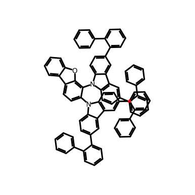 c1ccc(-c2ccccc2-c2ccc3c(c2)c2cc(-c4ccccc4-c4ccccc4)ccc2n3-c2ccc3c(oc4ccccc43)c2-n2c3ccc(-c4ccccc4-c4ccccc4)cc3c3cc(-c4ccccc4-c4ccccc4)ccc32)cc1